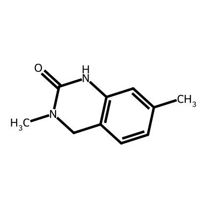 Cc1ccc2c(c1)NC(=O)N(C)C2